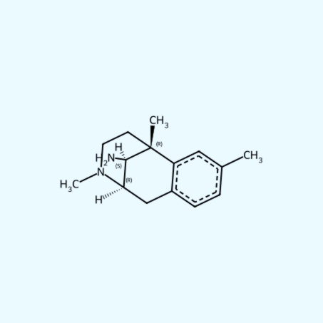 Cc1ccc2c(c1)[C@@]1(C)CCN(C)[C@H](C2)[C@H]1N